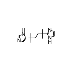 CC(C)(CCC(C)(C)c1ncc[nH]1)c1cnc[nH]1